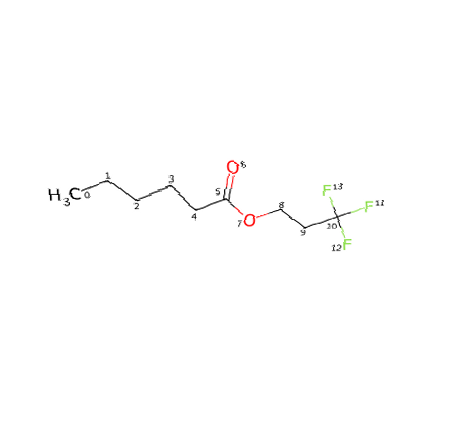 CCCCCC(=O)OCCC(F)(F)F